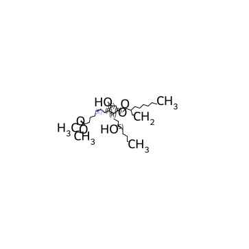 C=CC(CCCCCCC)C(=O)O[C@@H]1C[C@H](O)[C@H](C/C=C\CCCC(=O)OC(C)C)[C@H]1CC[C@@H](O)CCCCC